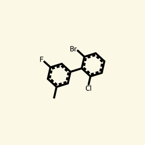 Cc1cc(F)cc(-c2c(Cl)cccc2Br)c1